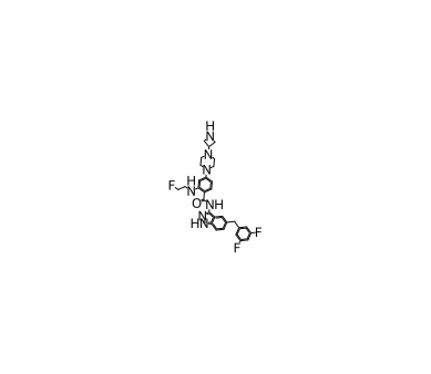 O=C(Nc1n[nH]c2ccc(Cc3cc(F)cc(F)c3)cc12)c1ccc(N2CCN(C3CNC3)CC2)cc1NCCF